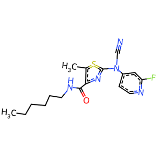 CCCCCCNC(=O)c1nc(N(C#N)c2ccnc(F)c2)sc1C